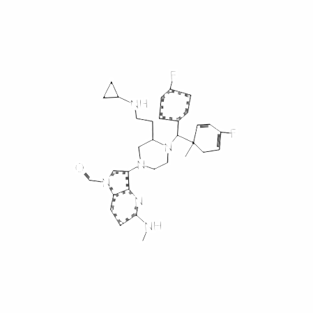 CNc1ccc2c(n1)c(N1CCN(C(c3ccc(F)cc3)C3(C)C=CC(F)=CC3)C(CCNC3CC3)C1)cn2C=O